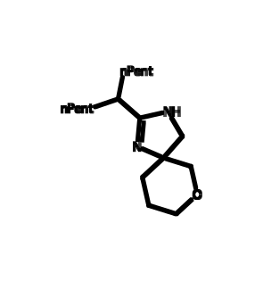 CCCCCC(CCCCC)C1=NC2(CCCOC2)CN1